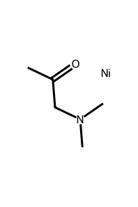 CC(=O)CN(C)C.[Ni]